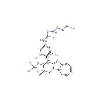 C[C@@H]1CC2C(=CC3=CC=CC=CN32)[C@H](c2c(F)cc(NC3CN(CCCF)C3)cc2F)C1CC(C)(C)F